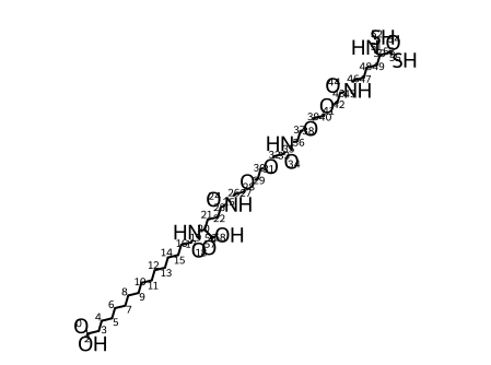 O=C(O)CCCCCCCCCCCCCCC(=O)NC(CCC(=O)NCCOCCOCC(=O)NCCOCCOCC(=O)NCCCCC(NS)C(=O)S)C(=O)O